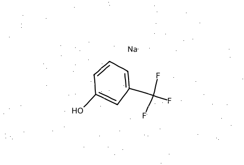 Oc1cccc(C(F)(F)F)c1.[Na]